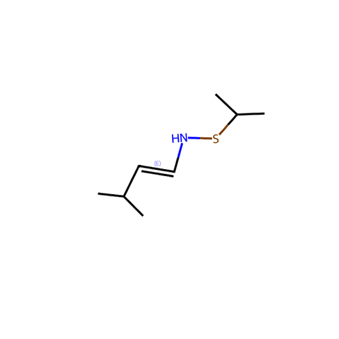 CC(C)/C=C/NSC(C)C